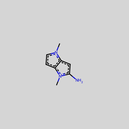 Cn1ccc2c1cc(N)n2C